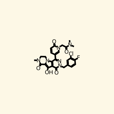 CN(C)C(=O)Cn1cc(-c2nn(Cc3ccc(F)c(Cl)c3)c(=O)c3c(O)c4n(c23)CCN(C)C4=O)ccc1=O